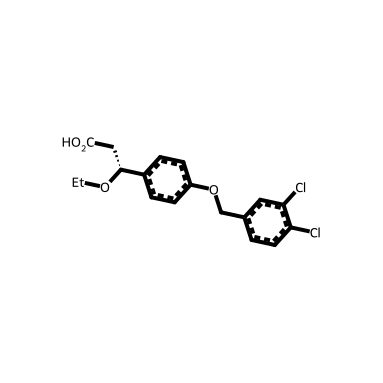 CCO[C@H](CC(=O)O)c1ccc(OCc2ccc(Cl)c(Cl)c2)cc1